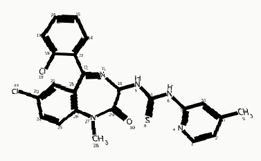 Cc1ccnc(NC(=S)NC2N=C(c3ccccc3Cl)c3cc(Cl)ccc3N(C)C2=O)c1